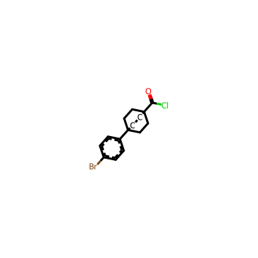 O=C(Cl)C12CCC(c3ccc(Br)cc3)(CC1)CC2